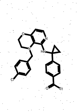 CCC(=O)c1ccc(C2(Nc3nccc4c3N(Cc3ccc(Cl)cc3)CCO4)CC2)cc1